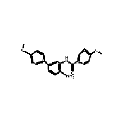 COc1ccc(C(=O)Nc2cc(-c3ccc(OC)cc3)ccc2N)cc1